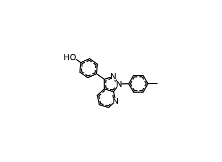 Cc1ccc(-n2nc(-c3ccc(O)cc3)c3cccnc32)cc1